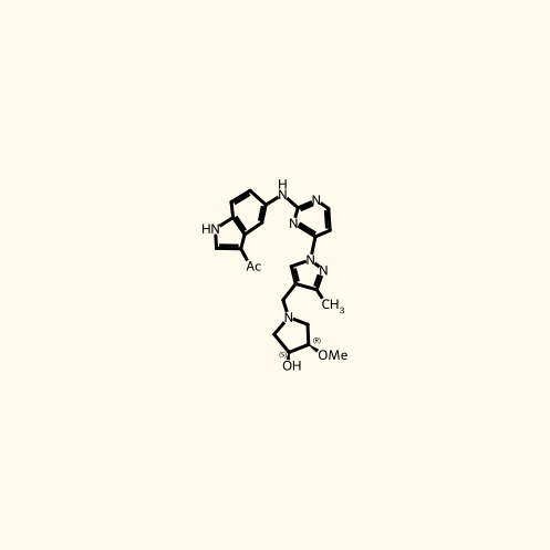 CO[C@@H]1CN(Cc2cn(-c3ccnc(Nc4ccc5[nH]cc(C(C)=O)c5c4)n3)nc2C)C[C@@H]1O